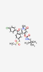 CCS(=O)(=O)Cc1ccc(C(=O)c2ccc(Cl)cc2)c(-c2cn(C)c(=O)cc2OC(=O)NCC(C)(C)C)c1